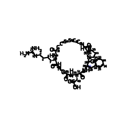 NC(N)=NCCCC[C@@H]1NC(=O)CCSSCCNC(=O)[C@@H]2CCCN2C(=O)/C(=C\c2ccccc2)NC(=O)[C@H](CC(=O)O)NC(=O)CNC1=O